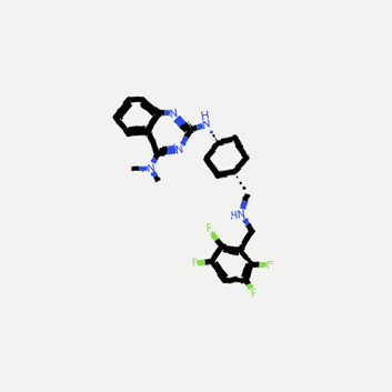 CN(C)c1nc(N[C@H]2CC[C@@H](CNCc3c(F)c(F)cc(F)c3F)CC2)nc2ccccc12